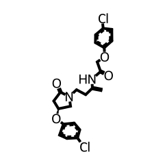 C=C(CCN1C[C@@H](Oc2ccc(Cl)cc2)CC1=O)NC(=O)COc1ccc(Cl)cc1